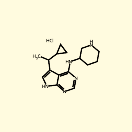 CC(c1c[nH]c2ncnc(NC3CCCNC3)c12)C1CC1.Cl